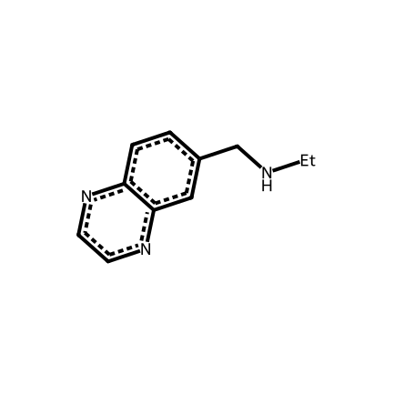 CCNCc1ccc2nccnc2c1